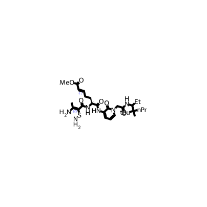 CCCC(C)(C(CC)NC(=O)Cn1cccc(NC(=O)[C@H](CC/C=C/C(=O)OC)NC(=O)/C(SN)=C(\C)N)c1=O)C(C)(C)C